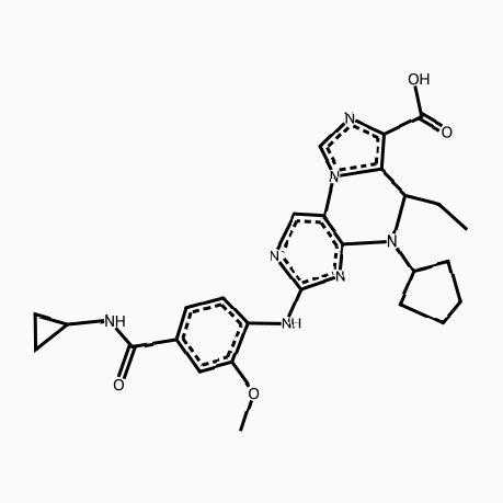 CCC1c2c(C(=O)O)ncn2-c2cnc(Nc3ccc(C(=O)NC4CC4)cc3OC)nc2N1C1CCCC1